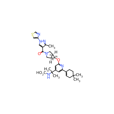 Cc1nn(-c2cscn2)cc1C(=O)N1C[C@@H]2[C@H](C1)[C@@H]2Oc1cc(C(C)(C)NC(=O)O)cc(C2=CCC(C)(C)CC2)n1